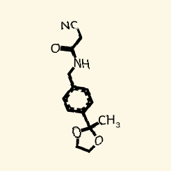 CC1(c2ccc(CNC(=O)CC#N)cc2)OCCO1